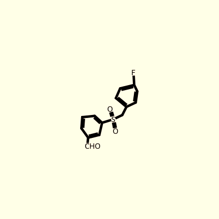 O=Cc1cccc(S(=O)(=O)Cc2ccc(F)cc2)c1